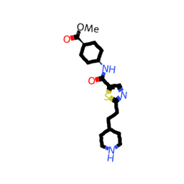 COC(=O)[C@H]1CC[C@H](NC(=O)c2cnc(CCC3CCNCC3)s2)CC1